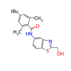 Cc1cc(C(C)(C)C)cc(C)c1C(=O)Nc1ccc2sc(CO)nc2c1